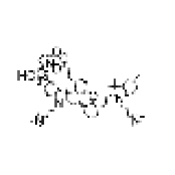 Cc1ccc2c(c1)C(C)(C)C(/C=C/C1=C(Oc3ccc(CCC(=O)ON4C(=O)CCC4=O)cc3)C(=C/C=C3/N(CCC[N+](C)(C)C)c4ccc(S(=O)(=O)O)cc4C3(C)C)/CCC1)=[N+]2CCC[N+](C)(C)C